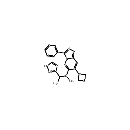 CC(c1nc[nH]n1)N(C)c1nn2c(-c3ccccc3)nnc2cc1C1CCC1